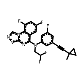 CC1(C#Cc2cc(F)cc(N(CC(F)F)c3nc4nncn4c4c(F)cc(F)cc34)c2)CC1